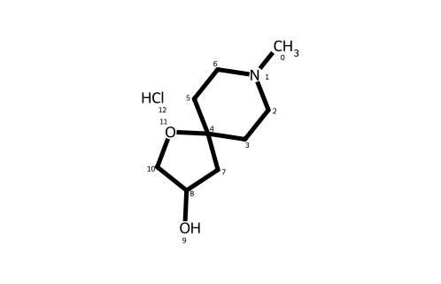 CN1CCC2(CC1)CC(O)CO2.Cl